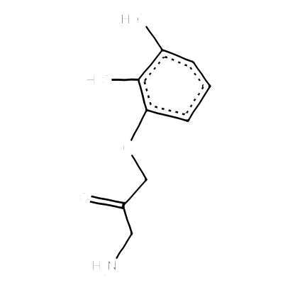 Cc1cccc(OCC(=O)CN)c1C